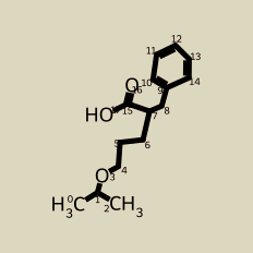 CC(C)OCCCC(Cc1ccccc1)C(=O)O